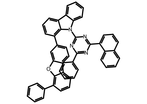 c1ccc(-c2nc(-c3cccc4ccccc34)nc(-n3c4ccccc4c4cccc(-c5ccc6c(c5)oc5c(-c7ccccc7)cccc56)c43)n2)cc1